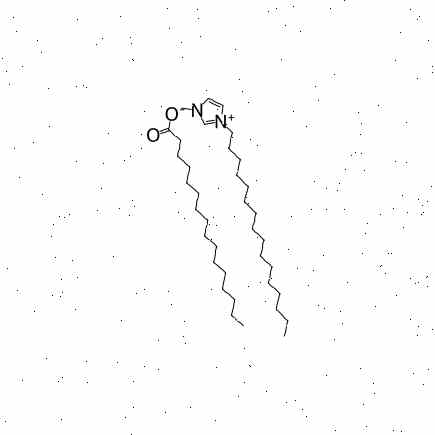 CCCCCCCCCCCCCCCC(=O)[O-].CCCCCCCCCCCCCCCC[n+]1ccn(C)c1